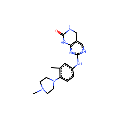 Cc1cc(Nc2ncc3c(n2)NC(=O)NC3)ccc1N1CCN(C)CC1